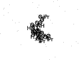 CC(C)C(=O)OCOC(=O)NC1=CC(=O)Nc2ncnc3c2c1cn3[C@@H]1O[C@H](COC(=O)C(C)C)[C@@H](OC(=O)C(C)C)C1(C)O